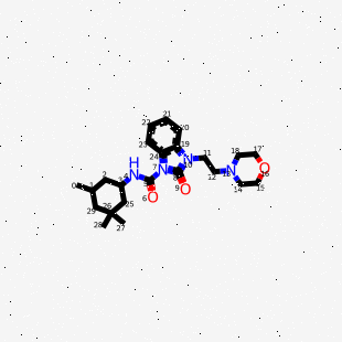 CC1CC(NC(=O)n2c(=O)n(CCN3CCOCC3)c3ccccc32)CC(C)(C)C1